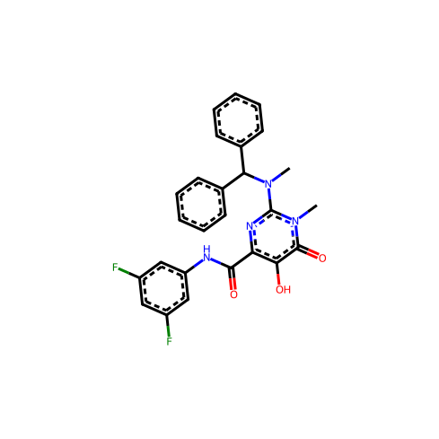 CN(c1nc(C(=O)Nc2cc(F)cc(F)c2)c(O)c(=O)n1C)C(c1ccccc1)c1ccccc1